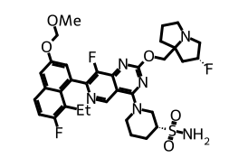 CCc1c(F)ccc2cc(OCOC)cc(-c3ncc4c(N5CCC[C@@H](S(N)(=O)=O)C5)nc(OCC56CCCN5C[C@H](F)C6)nc4c3F)c12